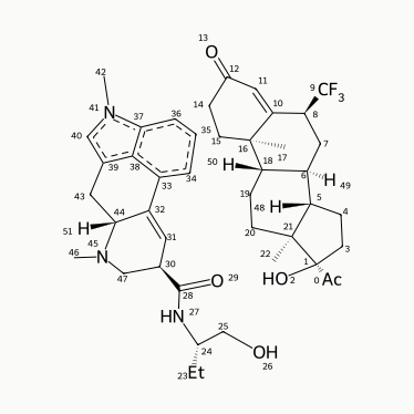 CC(=O)[C@@]1(O)CC[C@H]2[C@@H]3C[C@H](C(F)(F)F)C4=CC(=O)CC[C@]4(C)[C@H]3CC[C@@]21C.CC[C@@H](CO)NC(=O)[C@@H]1C=C2c3cccc4c3c(cn4C)C[C@H]2N(C)C1